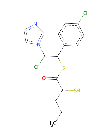 CCCC(S)C(=O)SC(c1ccc(Cl)cc1)C(Cl)n1ccnc1